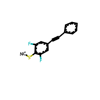 N#CSc1c(F)cc(C#Cc2ccccc2)cc1F